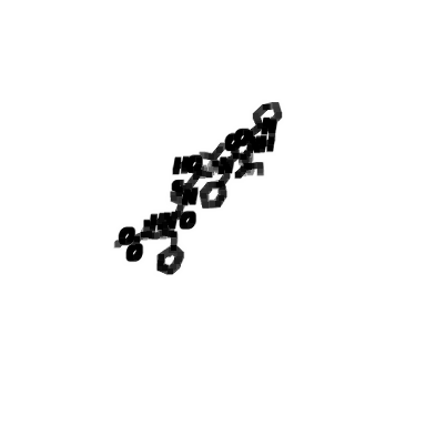 CC[C@@H](C)[C@H](NC(=O)C1CCCCN1C)C(=O)N(Cc1ccccc1)[C@H](C[C@@H](O)c1nc(C(=O)N[C@@H](Cc2ccccc2)C[C@H](C)C(=O)OC)cs1)C(C)C